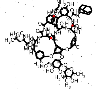 CN[C@H](CC(C)C)C(=O)N[C@H]1C(=O)NC(C(=O)NC(=O)c2ccc(OCCN)cc2)C(=O)N[C@H]2C(=O)N[C@H]3C(=O)N[C@H](C(=O)N[C@H](C(=O)NC4C5CC6CC(C5)CC4C6)c4cc(O)cc(O)c4-c4cc3ccc4O)[C@H](O)c3ccc(c(Cl)c3)Oc3cc2cc(c3O[C@@H]2C[C@H](CO)[C@@H](O)[C@H](O)[C@H]2O[C@H]2C[C@](C)(N)[C@H](O)[C@H](C)O2)Oc2ccc(cc2C)[C@H]1O